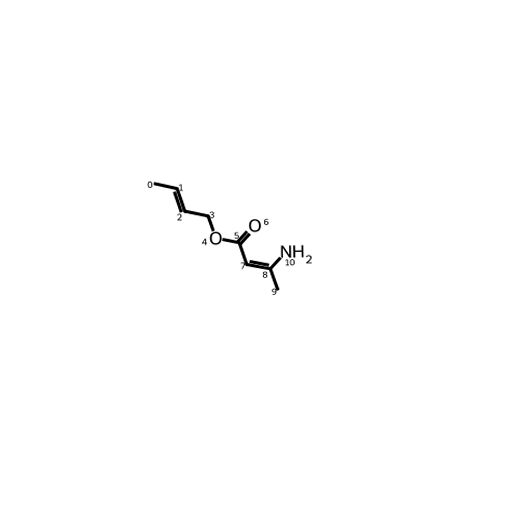 C/C=C/COC(=O)/C=C(/C)N